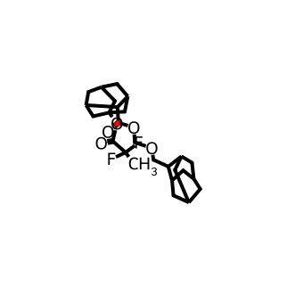 CC(F)(F)C(=O)OC12CC3CC(C1)C(C(=O)OCOCC1C4CC5CC(C4)CC1C5)C(C3)C2